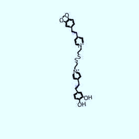 Oc1ccc(/C=C/c2cc[n+](CCSSCC[n+]3ccc(/C=C/c4ccc5c(c4)OCO5)cc3)cc2)cc1O